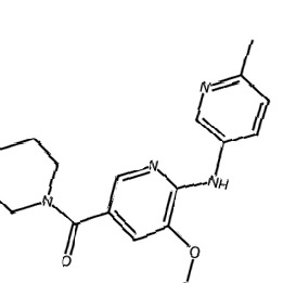 CCOc1cc(C(=O)N2CCCCC2)cnc1Nc1ccc(C)nc1